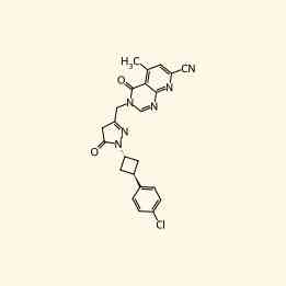 Cc1cc(C#N)nc2ncn(CC3=NN([C@H]4C[C@H](c5ccc(Cl)cc5)C4)C(=O)C3)c(=O)c12